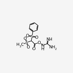 CS(=O)(=O)C(C(=O)ONC(=N)N)S(=O)(=O)c1ccccc1